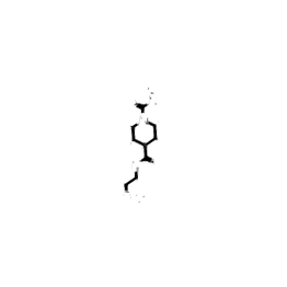 CCNC(=O)N1CCC(C(=O)NCCOC)CC1